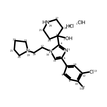 Cl.Cl.OC1(c2nc(-c3ccc(F)c(Cl)c3)cn2CCN2CCCC2)CCNCC1